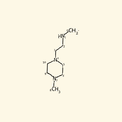 [CH2]NCCN1CCN(C)CC1